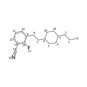 CCCC1CCC(CCc2cccc(C#N)c2F)CC1